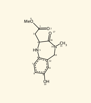 COC(=O)CC1Nc2ccc(O)cc2CN(C)C1=O